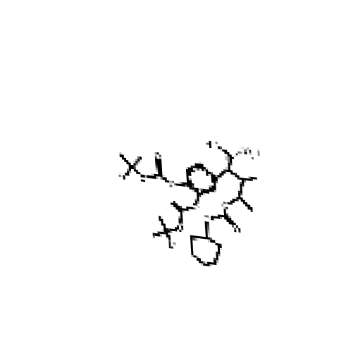 CCC(C)(C)OC(=O)Oc1ccc(C(C(C)C(C)OC(=O)OC2CCCCC2)[C@H](N)C(=O)O)cc1OC(=O)OC(C)(C)CC